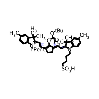 CCCCC[N+]1=C(/C=C/C2=C(OC(=O)OC(C)(C)C)C(=C/C=C3/N(CCCCS(=O)(=O)O)c4ccc(C)cc4C3(C)C)/CC2)C(C)(C)c2cc(C)ccc21